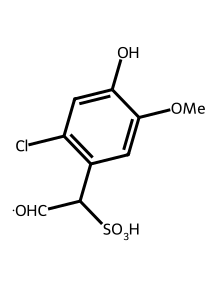 COc1cc(C([C]=O)S(=O)(=O)O)c(Cl)cc1O